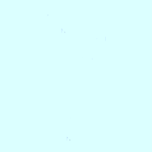 CC(=O)Cn1c(C)cc(O)c(C(=O)C=Cc2cccc(OCC#N)c2)c1=O